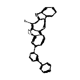 Brc1c2c(cc3c4c(oc13)=CC(c1cccc(-c3ccccc3)c1)C=C4)-c1ccccc1N=2